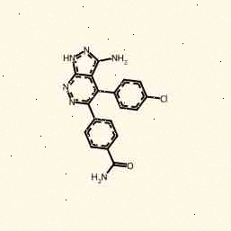 NC(=O)c1ccc(-c2nnc3[nH]nc(N)c3c2-c2ccc(Cl)cc2)cc1